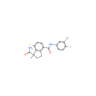 CC1(C(N)=O)CCc2c(C(=O)Nc3ccc(F)c(Cl)c3)ccc(F)c21